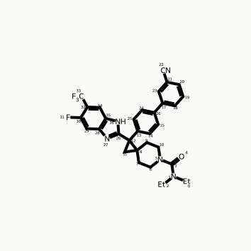 CCN(CC)C(=O)N1CCC2(CC1)CC2(c1ccc(-c2cccc(C#N)c2)cc1)c1nc2cc(F)c(C(F)(F)F)cc2[nH]1